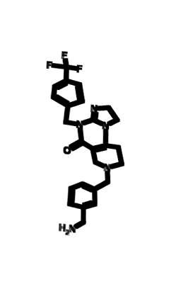 NCc1cccc(CN2CCC3=C(C2)C(=O)N(Cc2ccc(C(F)(F)F)cc2)C2=NCCN23)c1